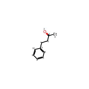 [CH2]CC(=O)CCc1ccccc1